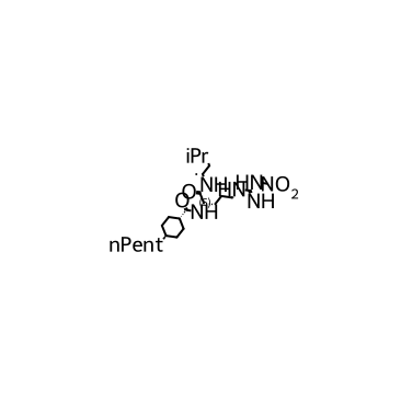 CCCCC[C@H]1CC[C@H](C(=O)N[C@@H](CCCNC(=N)N[N+](=O)[O-])C(=O)N[CH]CC(C)C)CC1